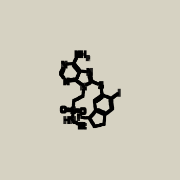 CCNS(=O)(=O)CCn1c(Sc2cc3c(cc2I)CCC3F)nc2c(N)ncnc21